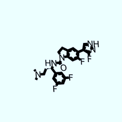 CN(C)CC[C@H](NC(=O)N1CCc2cc(-c3c[nH]nc3F)c(F)cc21)c1cc(F)cc(F)c1